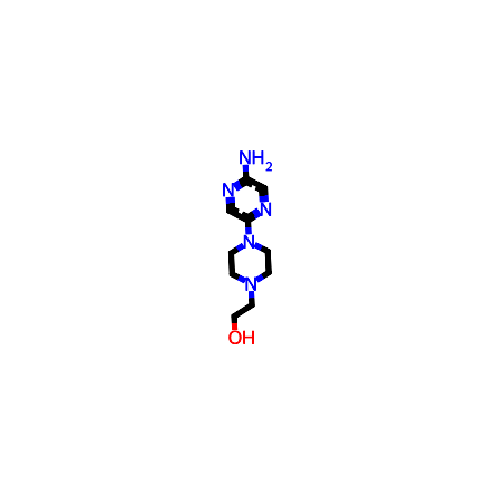 Nc1cnc(N2CCN(CCO)CC2)cn1